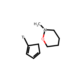 [CH3][Al]1[CH2]CCC[O]1.[Ti][C]1=CC=CC1